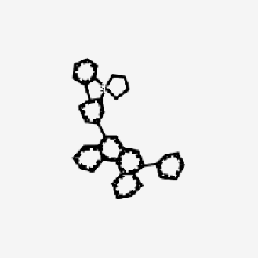 c1ccc(-c2cc3cc(-c4ccc5c(c4)[Si]4(CCCC4)c4ccccc4-5)c4ccccc4c3c3ccccc23)cc1